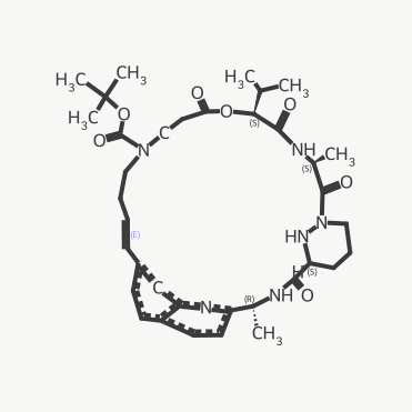 CC(C)[C@@H]1OC(=O)CCN(C(=O)OC(C)(C)C)CC/C=C/c2ccc3ccc(nc3c2)[C@@H](C)NC(=O)[C@@H]2CCCN(N2)C(=O)[C@H](C)NC1=O